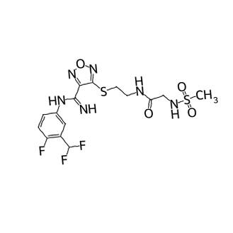 CS(=O)(=O)NCC(=O)NCCSc1nonc1C(=N)Nc1ccc(F)c(C(F)F)c1